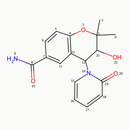 CC1(C)Oc2ccc(C(N)=O)cc2C(n2ccccc2=O)C1O